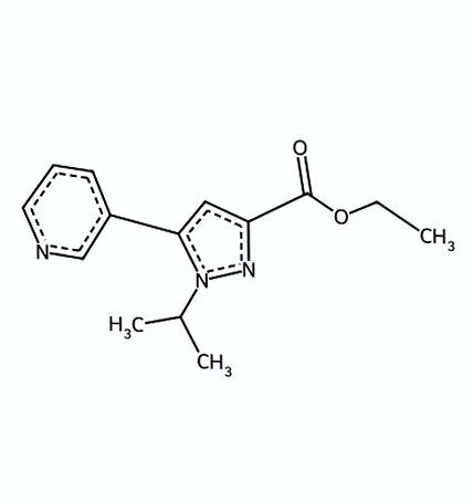 CCOC(=O)c1cc(-c2cccnc2)n(C(C)C)n1